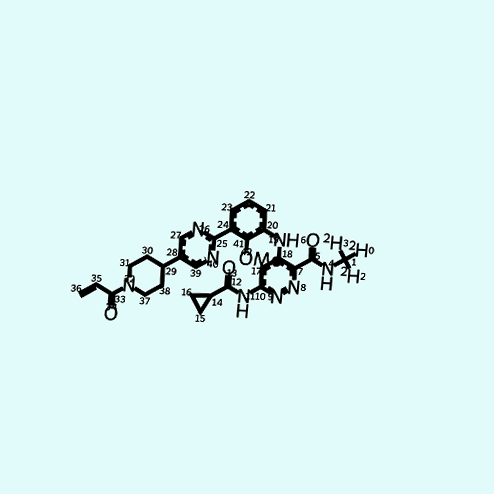 [2H]C([2H])([2H])NC(=O)c1nnc(NC(=O)C2CC2)cc1Nc1cccc(-c2ncc(C3CCN(C(=O)C=C)CC3)cn2)c1OC